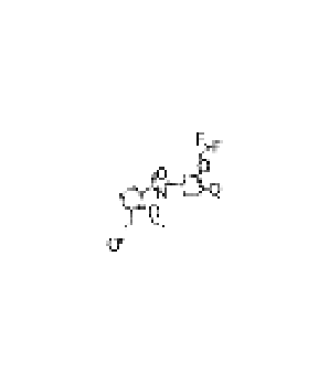 CCOc1c(CCC=O)cccc1-c1coc(-c2ccc(OC)c(OCC(F)F)c2)n1